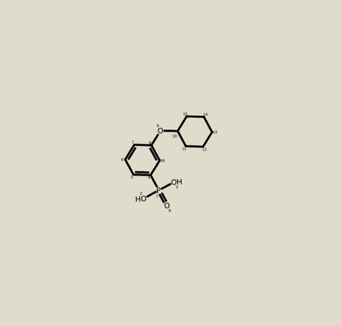 O=P(O)(O)c1cccc(OC2CCCCC2)c1